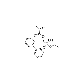 C=C(C)C(=O)OOP(=O)(O)OCC.c1ccc(-c2ccccc2)cc1